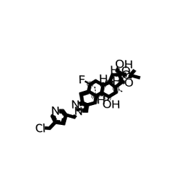 CC1(C)O[C@@H]2C[C@H]3[C@@H]4C[C@H](F)C5=Cc6nn(Cc7cncc(CCl)c7)cc6C[C@]5(C)[C@H]4[C@@H](O)C[C@]3(C)[C@]2(C(=O)CO)O1